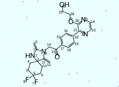 C=C1NC2(CCC(F)(F)CC2)C(=C)N1CC(=O)c1ccc(-c2nccnc2OCCO)cc1